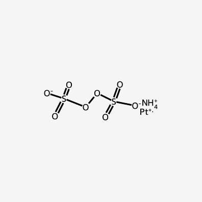 O=S(=O)([O-])OOS(=O)(=O)[O-].[NH4+].[Pt+]